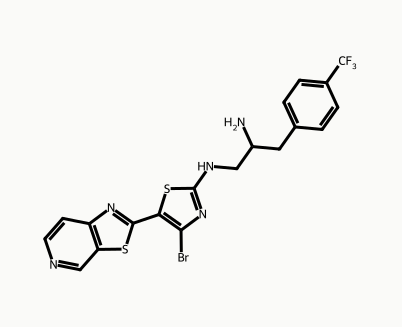 NC(CNc1nc(Br)c(-c2nc3ccncc3s2)s1)Cc1ccc(C(F)(F)F)cc1